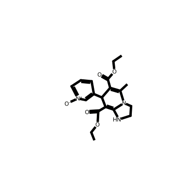 CCOC(=O)C1=C(C)N2CCNC2=C(C(=O)OCC)C1c1ccc[n+]([O-])c1